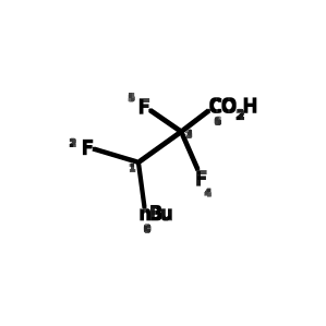 CCCCC(F)C(F)(F)C(=O)O